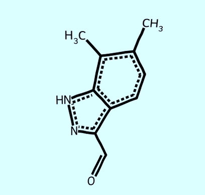 Cc1ccc2c(C=O)n[nH]c2c1C